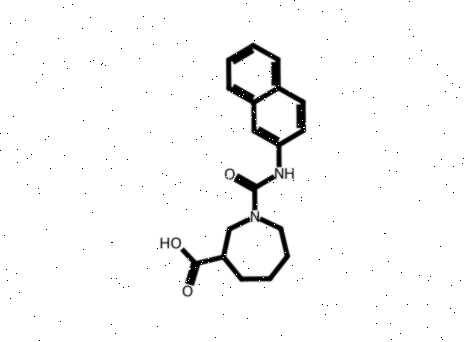 O=C(O)C1CCCCN(C(=O)Nc2ccc3ccccc3c2)C1